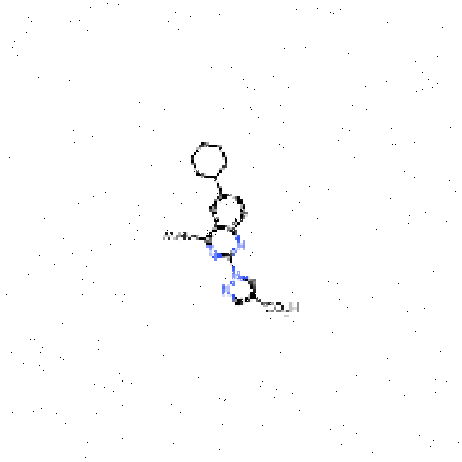 CNc1nc(-n2cc(C(=O)O)cn2)nc2ccc(C3CCCCC3)cc12